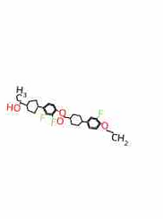 C=CCOc1ccc(C2CCC(C(=O)Oc3ccc(C4CCC(C(C)O)CC4)c(F)c3F)CC2)cc1F